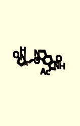 CC(=O)c1c[nH]c(=O)c2cc3ccnc(OCC[C@@H]4CCC(=O)N4)c3cc12